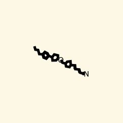 CCCCc1ccc(C2CCC(OCC3CCC(C=CC=CC#N)CC3)CC2)cc1